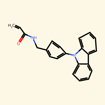 C=CC(=O)NCc1ccc(-n2c3ccccc3c3ccccc32)cc1